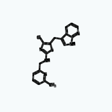 Cc1cccc(CNc2nc(Cl)c(Cc3c[nH]c4ncccc34)s2)n1